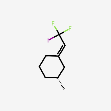 C[C@@H]1CCC/C(=C\C(F)(F)I)C1